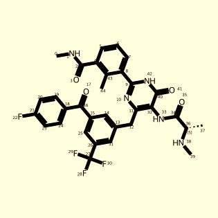 CNC(=O)c1cccc(-c2nc(Cc3cc(C(=O)c4ccc(F)cc4)cc(C(F)(F)F)c3)c(NC(=O)[C@H](C)NC)c(=O)[nH]2)c1C